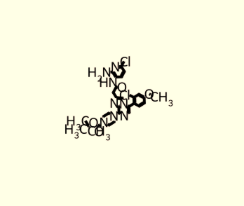 COc1ccc(-c2cnc(N3CCN(C(=O)OC(C)(C)C)CC3)c3nc(CC(=O)Nc4ccc(Cl)nc4N)cn23)c(Cl)c1